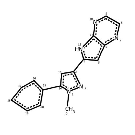 Cn1nc(-c2cc3nccnc3[nH]2)cc1-c1ccccc1